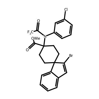 COC(=O)C1(N(C(=O)C(F)(F)F)c2cccc(Cl)c2)CCC2(CC1)C(Br)=Cc1ccccc12